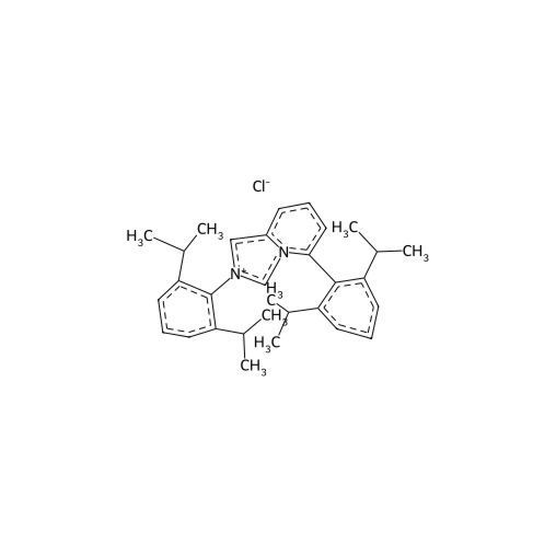 CC(C)c1cccc(C(C)C)c1-c1cccc2c[n+](-c3c(C(C)C)cccc3C(C)C)cn12.[Cl-]